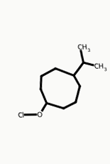 CC(C)C1CCCC(OCl)CCC1